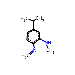 C=Nc1ccc(C(C)C)cc1NC